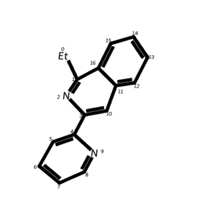 CCc1nc(-c2ccccn2)cc2ccccc12